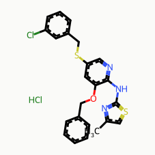 Cc1csc(Nc2ncc(SCc3cccc(Cl)c3)cc2OCc2ccccc2)n1.Cl